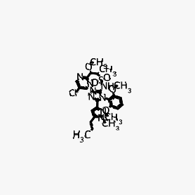 CCCc1cc(-c2nnc(NS(=O)(=O)[C@@H](C)[C@H](OC)c3ncc(Cl)cn3)n2-c2c(OC)cccc2OC)nn1C